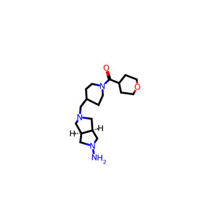 NN1C[C@@H]2CN(CC3CCN(C(=O)C4CCOCC4)CC3)C[C@@H]2C1